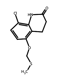 CSCOc1ccc(Cl)c2c1CCC(=O)N2